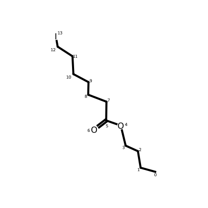 CCCCOC(=O)CCCCCCI